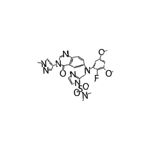 COc1cc(OC)c(F)c(N(Cc2nccn2S(=O)(=O)N(C)C)c2ccc3ncn(-c4cnn(C)c4)c(=O)c3c2)c1